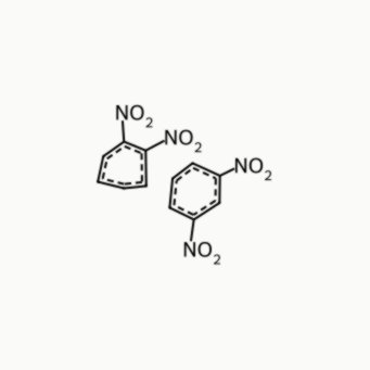 O=[N+]([O-])c1cccc([N+](=O)[O-])c1.O=[N+]([O-])c1ccccc1[N+](=O)[O-]